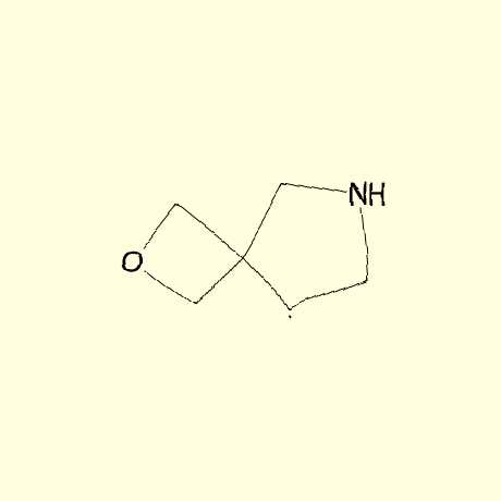 [CH]1CNCC12COC2